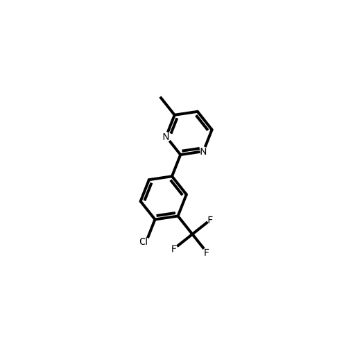 Cc1ccnc(-c2ccc(Cl)c(C(F)(F)F)c2)n1